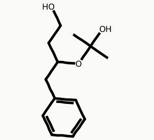 CC(C)(O)OC(CCO)Cc1ccccc1